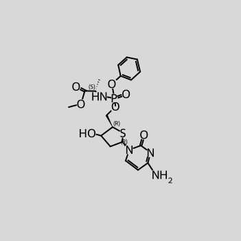 COC(=O)[C@H](C)NP(=O)(OC[C@H]1S[C@@H](n2ccc(N)nc2=O)CC1O)Oc1ccccc1